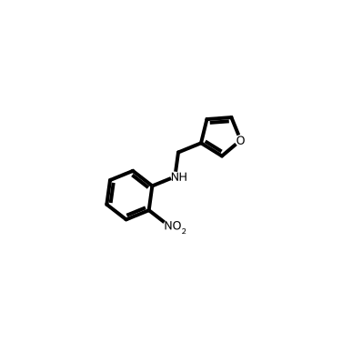 O=[N+]([O-])c1ccccc1NCc1ccoc1